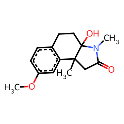 COc1ccc2c(c1)C1(C)CC(=O)N(C)C1(O)CC2